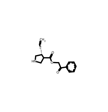 C=CC[C@H]1CNCC1C(=O)OCC(=O)c1ccccc1